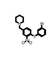 O=[N+]([O-])c1cc(CN2CCCCC2)ccc1Sc1cccc(Br)c1